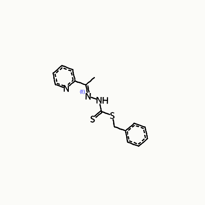 C/C(=N\NC(=S)SCc1ccccc1)c1ccccn1